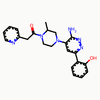 CC1CN(c2cc(-c3ccccc3O)nnc2N)CCN1C(=O)Cc1ccccn1